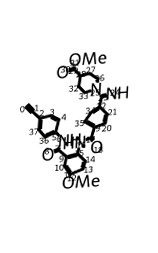 C#Cc1ccc(NC(=O)c2cc(OC)ccc2NC(=O)c2ccc(C(=N)N3CCC(C(=O)OC)CC3)cc2)cc1